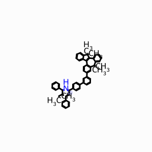 CCC(C)C(N/C(=C\Cc1ccccc1)c1ccc(-c2cccc(-c3ccc4c(c3)C(C)(C)c3ccccc3C3=C4c4ccccc4C3(C)C)c2)cc1)c1ccccc1